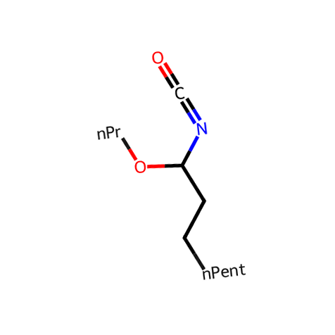 CCCCCCCC(N=C=O)OCCC